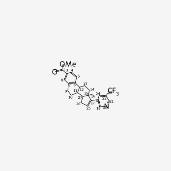 COC(=O)c1ccc2c(c1)CCC1C2CCC2(C)C(c3cncc(C(F)(F)F)c3)=CCC12